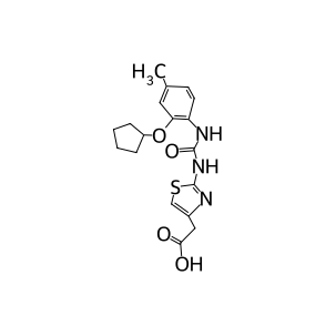 Cc1ccc(NC(=O)Nc2nc(CC(=O)O)cs2)c(OC2CCCC2)c1